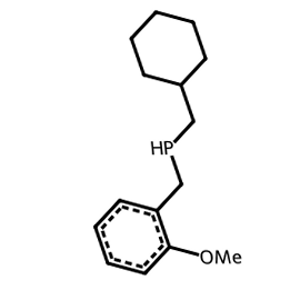 COc1ccccc1CPCC1CCCCC1